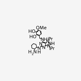 COc1ccc(CNc2nc(NC3CCCCC3N)nc3c2N(C(C)C)NN3C(C)C)c(O)c1O